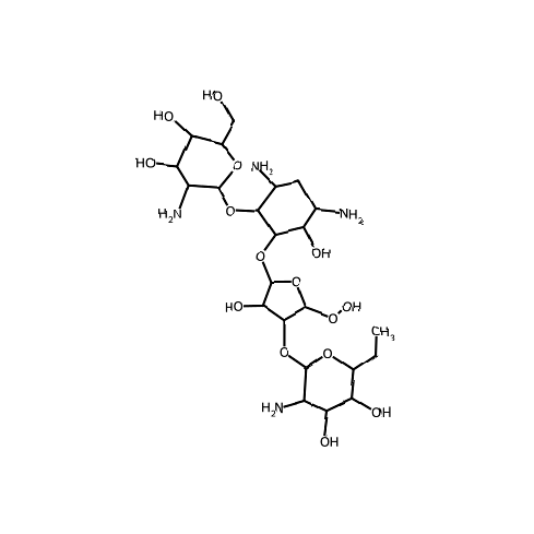 CCC1OC(OC2C(OO)OC(OC3C(O)C(N)CC(N)C3OC3OC(CO)C(O)C(O)C3N)C2O)C(N)C(O)C1O